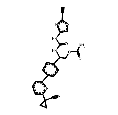 C#Cc1nc(NC(=O)NC(COC(N)=O)c2ccc(-c3cccc(C4(C#N)CC4)n3)cc2)cs1